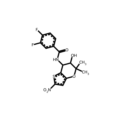 CC1(C)Oc2cc([N+](=O)[O-])sc2C(NC(=O)c2ccc(F)c(F)c2)C1O